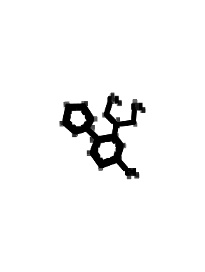 CCN(CC)c1cc(C)ccc1-c1ccccc1